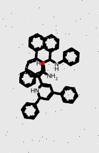 NC(NC(Nc1ccccc1)c1cccc2cccc(C3=CCC=C(C4=CC(c5ccccc5)=CC(c5ccccc5)N4)C=C3)c12)c1ccccc1